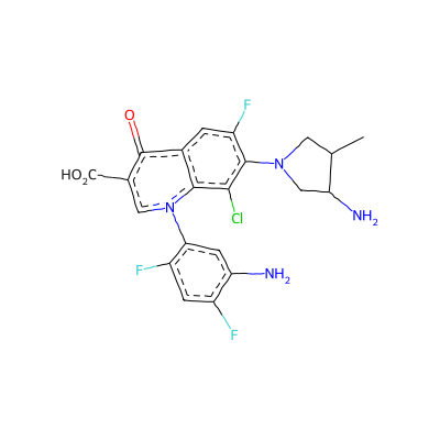 CC1CN(c2c(F)cc3c(=O)c(C(=O)O)cn(-c4cc(N)c(F)cc4F)c3c2Cl)CC1N